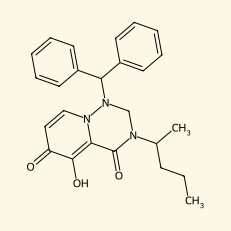 CCCC(C)N1CN(C(c2ccccc2)c2ccccc2)n2ccc(=O)c(O)c2C1=O